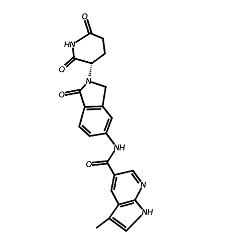 Cc1c[nH]c2ncc(C(=O)Nc3ccc4c(c3)CN([C@H]3CCC(=O)NC3=O)C4=O)cc12